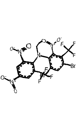 CCN(c1c([N+](=O)[O-])cc([N+](=O)[O-])cc1C(F)(F)F)c1c(Br)cc(Br)c(C(F)(F)F)c1[N+](=O)[O-]